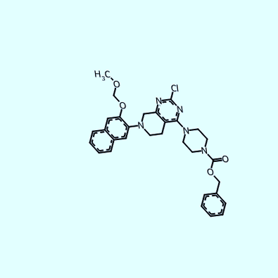 COCOc1cc2ccccc2cc1N1CCc2c(nc(Cl)nc2N2CCN(C(=O)OCc3ccccc3)CC2)C1